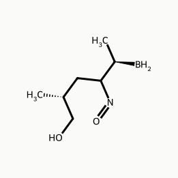 B[C@H](C)C(C[C@@H](C)CO)N=O